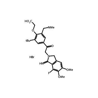 Br.CNCc1cc(C(=O)CN2Cc3cc(OC)c(OC)c(F)c3C2=N)cc(C(C)(C)C)c1OCC(=O)O